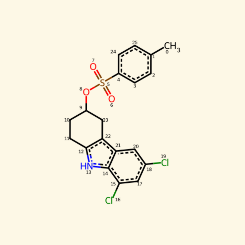 Cc1ccc(S(=O)(=O)OC2CCc3[nH]c4c(Cl)cc(Cl)cc4c3C2)cc1